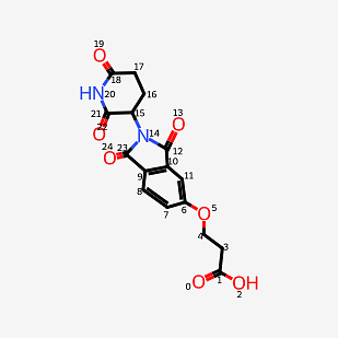 O=C(O)CCOc1ccc2c(c1)C(=O)N(C1CCC(=O)NC1=O)C2=O